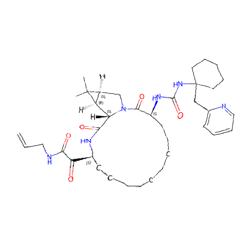 C=CCNC(=O)C(=O)[C@@H]1CCCCCCCCC[C@H](NC(=O)NC2(Cc3ccccn3)CCCCC2)C(=O)N2C[C@H]3[C@@H]([C@H]2C(=O)N1)C3(C)C